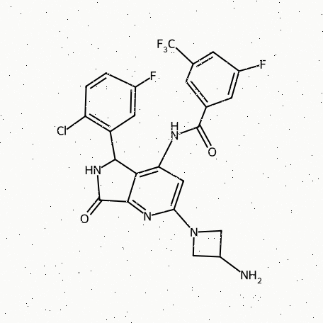 NC1CN(c2cc(NC(=O)c3cc(F)cc(C(F)(F)F)c3)c3c(n2)C(=O)NC3c2cc(F)ccc2Cl)C1